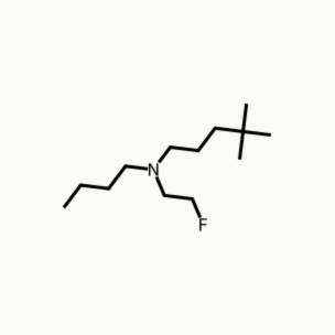 CCCCN(CCF)CCCC(C)(C)C